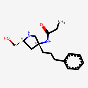 CCC(=O)N[C@@]1(CCCc2ccccc2)CN[C@@H](CO)C1